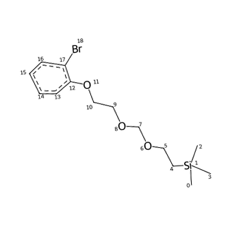 C[Si](C)(C)CCOCOCCOc1ccccc1Br